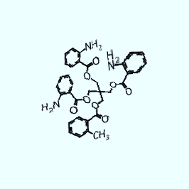 Cc1ccccc1C(=O)OCC(COC(=O)c1ccccc1N)(COC(=O)c1ccccc1N)COC(=O)c1ccccc1N